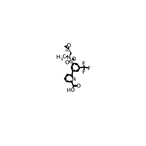 CN(C[C@H]1CO1)S(=O)(=O)c1cc(-c2cccc(C(=O)O)n2)cc(C(F)(F)F)c1